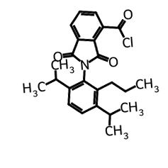 CCCc1c(C(C)C)ccc(C(C)C)c1N1C(=O)c2cccc(C(=O)Cl)c2C1=O